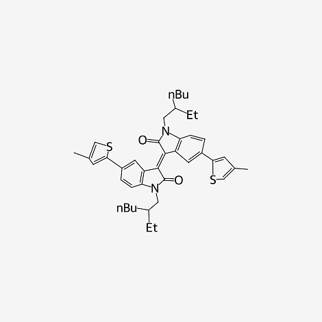 CCCCC(CC)CN1C(=O)/C(=C2/C(=O)N(CC(CC)CCCC)c3ccc(-c4cc(C)cs4)cc32)c2cc(-c3cc(C)cs3)ccc21